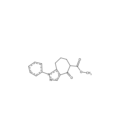 COC(=O)C1CCCc2c(cnn2-c2ccccc2)C1=O